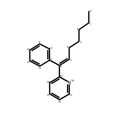 CCCCC/C=C(\c1ccccc1)c1ccccn1